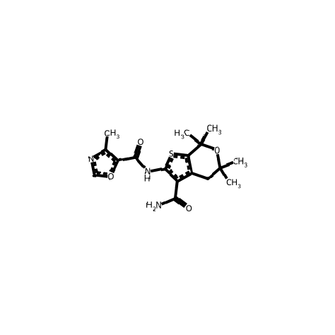 Cc1ncoc1C(=O)Nc1sc2c(c1C(N)=O)CC(C)(C)OC2(C)C